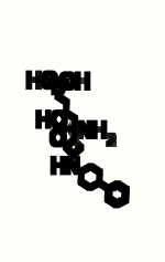 N[C@](CCCCB(O)O)(C(=O)O)[C@H]1C[C@H](NC2CCC(c3ccccc3)CC2)C1